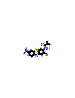 C=C(C)C(=O)Nc1cc2sc3cc(=[N+](C)C)ccc-3nc2cc1C